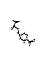 C=C(C)C(=O)OCN1CCN(C(C)=O)CC1